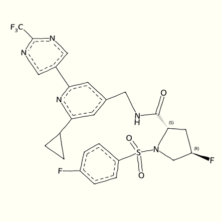 O=C(NCc1cc(-c2cnc(C(F)(F)F)nc2)nc(C2CC2)c1)[C@@H]1C[C@@H](F)CN1S(=O)(=O)c1ccc(F)cc1